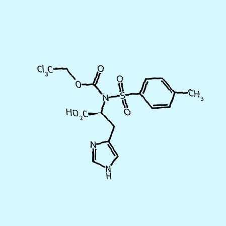 Cc1ccc(S(=O)(=O)N(C(=O)OCC(Cl)(Cl)Cl)[C@@H](Cc2c[nH]cn2)C(=O)O)cc1